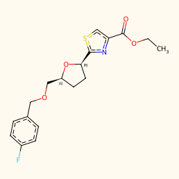 CCOC(=O)c1csc([C@H]2CC[C@@H](COCc3ccc(F)cc3)O2)n1